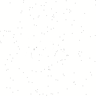 CC[SH]1C=CN=C1NC(=O)c1cc(S(=O)(=O)N2CCOCC2)c(F)cc1N(C)CC1CC1